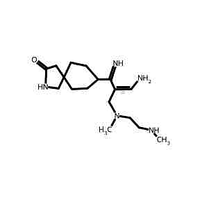 CNCCN(C)C/C(=C/N)C(=N)C1CCC2(CC1)CNC(=O)C2